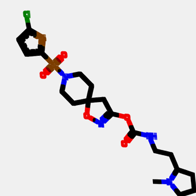 CN1CCCC1CCNC(=O)OC1=NOC2(CCN(S(=O)(=O)c3ccc(Cl)s3)CC2)C1